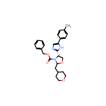 Cc1ccc(-c2cnc([C@@H]3COC(CC4CCOCC4)N3C(=O)OCc3ccccc3)[nH]2)cc1